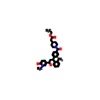 CCOC(=O)CC1CCN(C(=O)c2ccc(C(CC(=O)c3ccc(=O)n(C)c3)c3ccccc3C)cc2)CC1